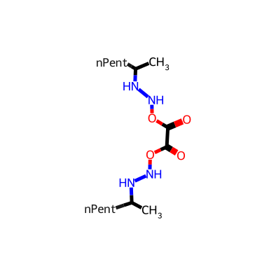 CCCCCC(C)NNOC(=O)C(=O)ONNC(C)CCCCC